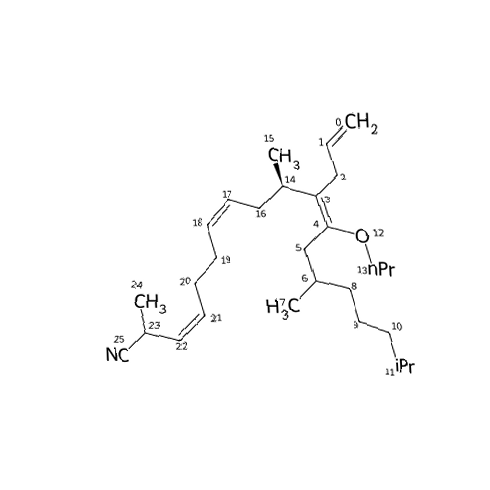 C=CC/C(=C(/CC(C)CCCC(C)C)OCCC)[C@H](C)C/C=C\CC/C=C\C(C)C#N